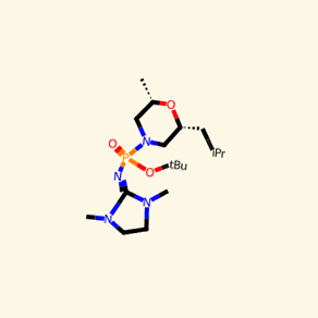 CC(C)C[C@@H]1CN(P(=O)(N=C2N(C)CCN2C)OC(C)(C)C)C[C@H](C)O1